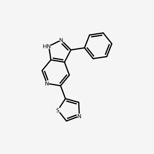 c1ccc(-c2n[nH]c3cnc(-c4cncs4)cc23)cc1